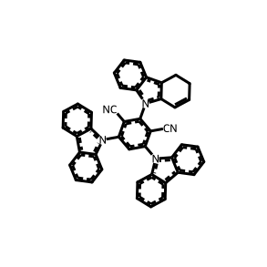 N#Cc1c(-n2c3ccccc3c3ccccc32)cc(-n2c3ccccc3c3ccccc32)c(C#N)c1-n1c2c(c3ccccc31)CCC=C2